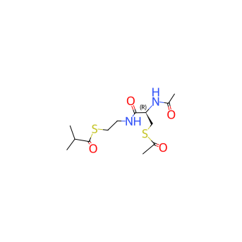 CC(=O)N[C@@H](CSC(C)=O)C(=O)NCCSC(=O)C(C)C